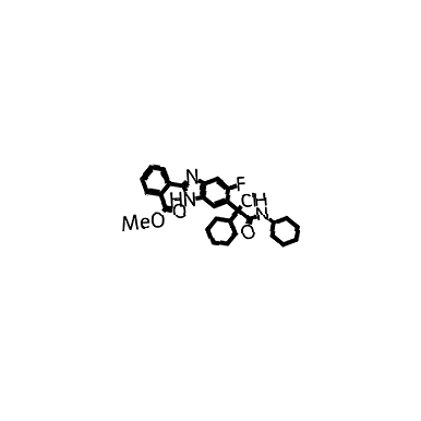 COC(=O)c1ccccc1-c1nc2cc(F)c(C(Cl)(C(=O)NC3CCCCC3)C3CCCCC3)cc2[nH]1